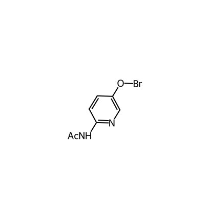 CC(=O)Nc1ccc(OBr)cn1